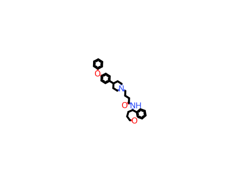 O=C(CCCN1CCC(c2ccc(Oc3ccccc3)cc2)CC1)NC1CCCOc2ccccc21